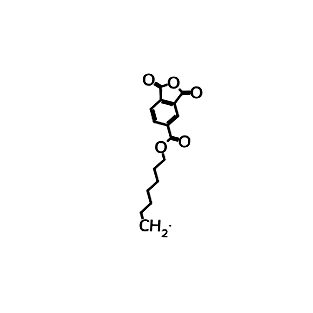 [CH2]CCCCCCOC(=O)c1ccc2c(c1)C(=O)OC2=O